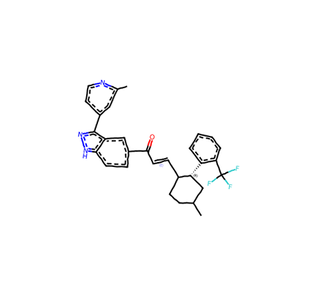 Cc1cc(-c2n[nH]c3ccc(C(=O)/C=C/C4CCC(C)C[C@H]4c4ccccc4C(F)(F)F)cc23)ccn1